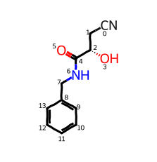 N#CC[C@H](O)C(=O)NCc1ccccc1